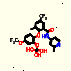 Cc1cc(NC(=O)c2cc(C(F)(F)F)cc(C)c2Oc2ccc(OC(F)(F)F)cc2OC(O)(O)O)ccn1